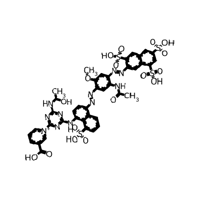 COc1cc(N=Nc2cc3c(S(=O)(=O)O)cc(S(=O)(=O)O)cc3cc2S(=O)(=O)O)c(NC(C)=O)cc1N=Nc1ccc(Nc2nc(NC(C)O)nc(-[n+]3cccc(C(=O)O)c3)n2)c2c(S(=O)(=O)O)cccc12